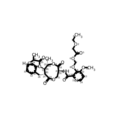 CCOCC(=O)OCOc1c(OC)ccnc1C(=O)N[C@H]1COC(=O)[C@H](Cc2ccccc2)[C@@H](OC(=O)C(C)C)[C@H](C)OC1=O